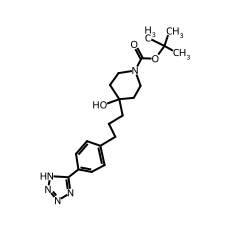 CC(C)(C)OC(=O)N1CCC(O)(CCCc2ccc(-c3nnn[nH]3)cc2)CC1